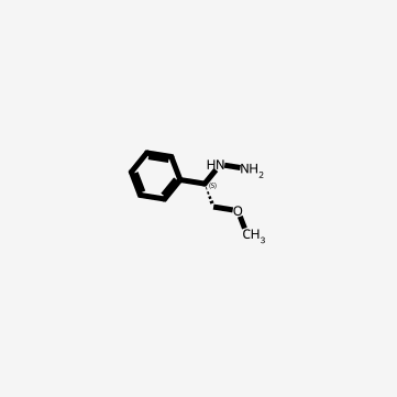 COC[C@@H](NN)c1ccccc1